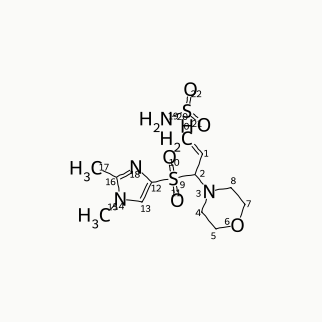 C=CC(N1CCOCC1)S(=O)(=O)c1cn(C)c(C)n1.N[SH](=O)=O